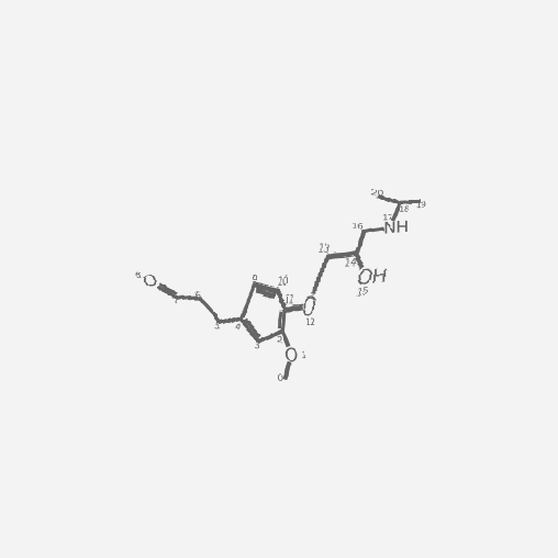 COc1cc(CCC=O)ccc1OCC(O)CNC(C)C